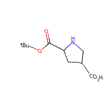 CC(C)(C)OC(=O)C1CC(C(=O)O)CN1